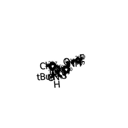 CC(C)(C)OC(=O)N[C@H]1CSc2ccc(C(=O)NCC3CC(F)(F)C3)cc2N(Cc2ccc(Cl)cc2)C1=O